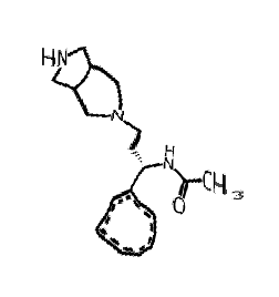 CC(=O)N[C@@H](CCN1CC2CNCC2C1)c1ccccc1